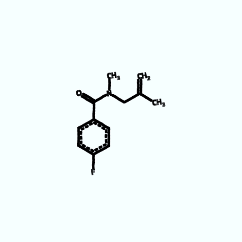 C=C(C)CN(C)C(=O)c1ccc(F)cc1